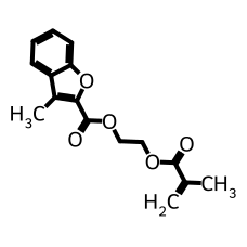 C=C(C)C(=O)OCCOC(=O)c1oc2ccccc2c1C